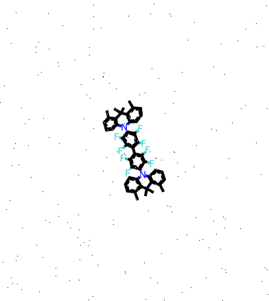 Cc1cccc2c1C(C)(C)c1c(C)cccc1N2c1c(F)c(F)c(-c2c(F)c(F)c(N3c4cccc(C)c4C(C)(C)c4c(C)cccc43)c(F)c2F)c(F)c1F